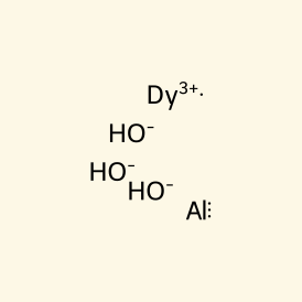 [Al].[Dy+3].[OH-].[OH-].[OH-]